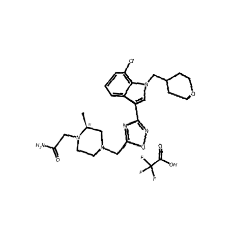 C[C@H]1CN(Cc2nc(-c3cn(CC4CCOCC4)c4c(Cl)cccc34)no2)CCN1CC(N)=O.O=C(O)C(F)(F)F